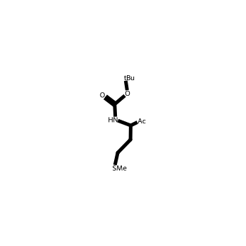 CSCCC(NC(=O)OC(C)(C)C)C(C)=O